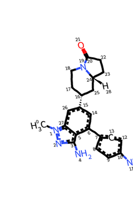 Cn1nc(N)c2c(-c3ccc(N)cc3)cc([C@@H]3CCN4C(=O)CC[C@@H]4C3)cc21